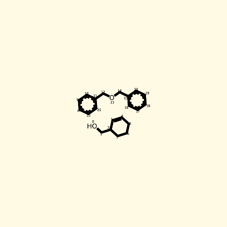 OCC1C=CCCC1.c1ccc(COCc2ccccc2)cc1